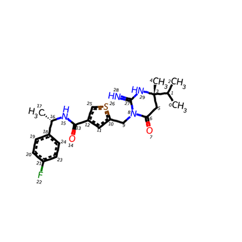 CC(C)[C@]1(C)CC(=O)N(Cc2cc(C(=O)N[C@@H](C)c3ccc(F)cc3)cs2)C(=N)N1